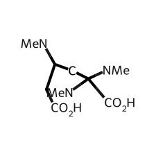 CNC(CC(=O)O)CC(NC)(NC)C(=O)O